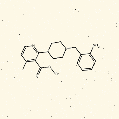 Cc1ccnc(N2CCN(Cc3ccccc3N)CC2)c1C(=O)OC(C)C